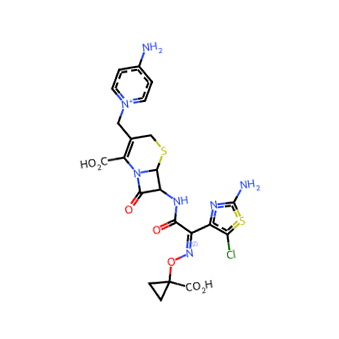 Nc1cc[n+](CC2=C(C(=O)O)N3C(=O)C(NC(=O)/C(=N\OC4(C(=O)O)CC4)c4nc(N)sc4Cl)C3SC2)cc1